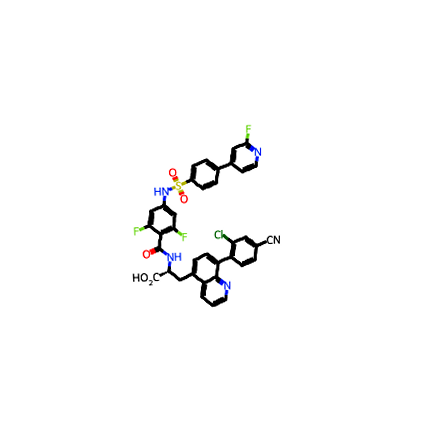 N#Cc1ccc(-c2ccc(C[C@H](NC(=O)c3c(F)cc(NS(=O)(=O)c4ccc(-c5ccnc(F)c5)cc4)cc3F)C(=O)O)c3cccnc23)c(Cl)c1